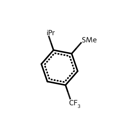 CSc1cc(C(F)(F)F)ccc1C(C)C